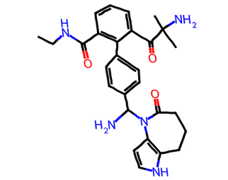 CCNC(=O)c1cccc(C(=O)C(C)(C)N)c1-c1ccc(C(N)N2C(=O)CCCc3[nH]ccc32)cc1